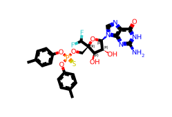 Cc1ccc(OP(=S)(OC[C@@]2(C(F)F)O[C@@H](n3cnc4c(=O)[nH]c(N)nc43)[C@H](O)[C@H]2O)Oc2ccc(C)cc2)cc1